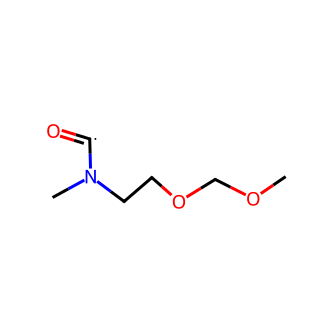 COCOCCN(C)[C]=O